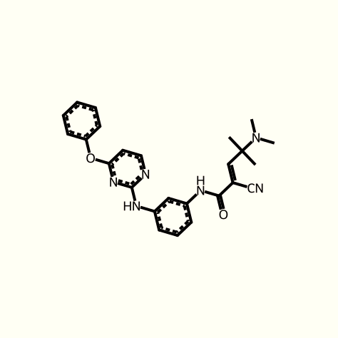 CN(C)C(C)(C)C=C(C#N)C(=O)Nc1cccc(Nc2nccc(Oc3ccccc3)n2)c1